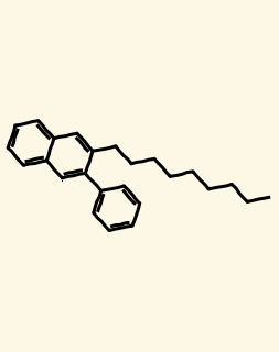 CCCCCCCCCc1cc2ccccc2[c]c1-c1ccccc1